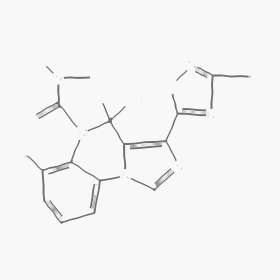 CC(C)c1noc(-c2ncn3c2C(C)(C)N(C(=O)N(C)C)c2c(Cl)cccc2-3)n1